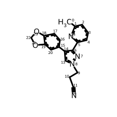 Cc1cccc(-c2nn(CCC#N)cc2-c2ccc3c(c2)OCO3)n1